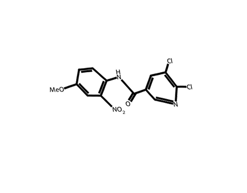 COc1ccc(NC(=O)c2cnc(Cl)c(Cl)c2)c([N+](=O)[O-])c1